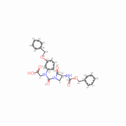 O=C(O)CN(C(=O)N1C[C@H](NC(=O)OCc2ccccc2)C1=O)c1cccc(OCc2ccccc2)c1